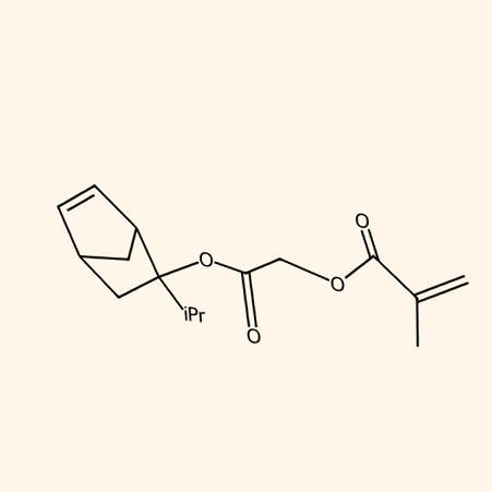 C=C(C)C(=O)OCC(=O)OC1(C(C)C)CC2C=CC1C2